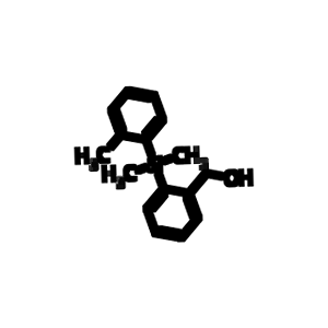 Cc1ccccc1[Si](C)(C)c1ccccc1CO